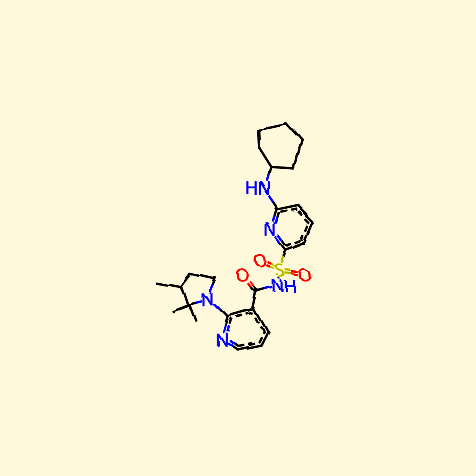 CC1CCN(c2ncccc2C(=O)NS(=O)(=O)c2cccc(NC3CCCCC3)n2)C1(C)C